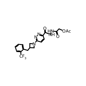 CC(=O)OCC(=O)NNC(=O)c1ccc(N2CC(Cc3ccccc3C(F)(F)F)C2)nn1